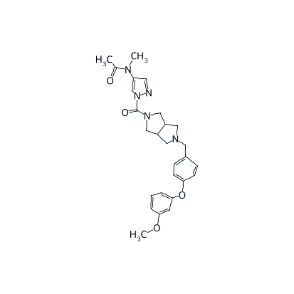 COc1cccc(Oc2ccc(CN3CC4CN(C(=O)n5cc(N(C)C(C)=O)cn5)CC4C3)cc2)c1